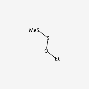 CCOSSC